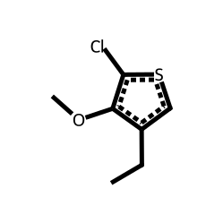 CCc1csc(Cl)c1OC